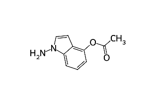 CC(=O)Oc1cccc2c1ccn2N